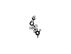 CN1CC(N2CCC[C@H](C(=O)Nc3nc4c(F)cc(F)cc4s3)C2)C1